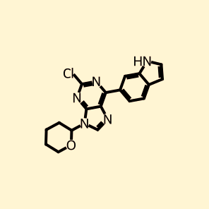 Clc1nc(-c2ccc3cc[nH]c3c2)c2ncn(C3CCCCO3)c2n1